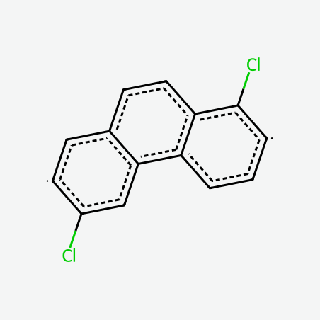 Clc1[c]cc2ccc3c(Cl)[c]ccc3c2c1